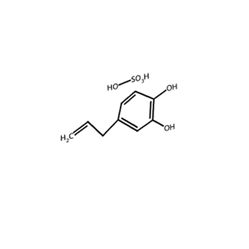 C=CCc1ccc(O)c(O)c1.O=S(=O)(O)O